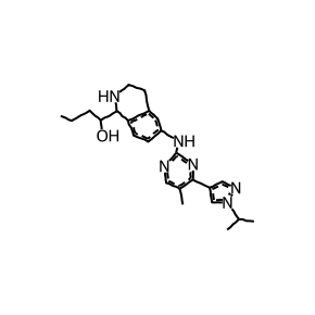 CCCC(O)C1NCCc2cc(Nc3ncc(C)c(-c4cnn(C(C)C)c4)n3)ccc21